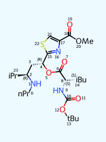 CCCN[C@H](C[C@@H](OC(=O)[C@@H](NC(=O)OC(C)(C)C)[C@@H](C)CC)c1nc(C(=O)OC)cs1)C(C)C